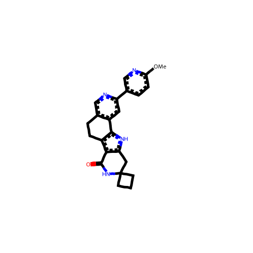 COc1ccc(-c2cc3c(cn2)CCc2c-3[nH]c3c2C(=O)NC2(CCC2)C3)cn1